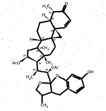 CC(=O)O[C@H]1C[C@@]2(C)[C@@H]3CC[C@H]4[C@H](C)C(=O)C=C[C@@]45C[C@@]35CC[C@]2(C)[C@H]1[C@H](C)[C@@H](OC(C)=O)C12OCC(C)C1Cc1ccc(O)cc1O2